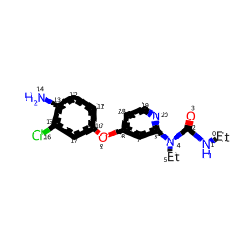 CCNC(=O)N(CC)c1cc(Oc2ccc(N)c(Cl)c2)ccn1